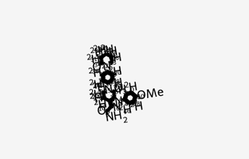 [2H]c1c([2H])c(-n2nc(C(N)=O)c3c2C(=O)N(c2c([2H])c([2H])c(N4CC([2H])([2H])C([2H])([2H])C([2H])([2H])C4=O)c([2H])c2[2H])C([2H])([2H])C3([2H])[2H])c([2H])c([2H])c1OC